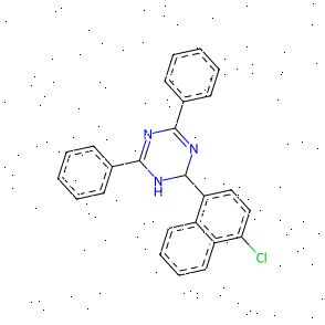 Clc1ccc(C2N=C(c3ccccc3)N=C(c3ccccc3)N2)c2ccccc12